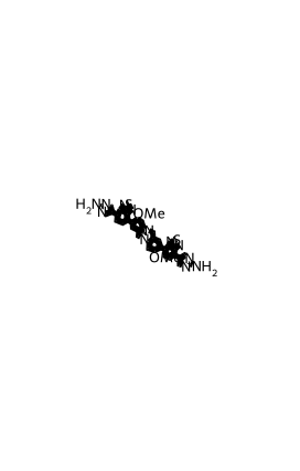 COc1cc2c(cc1-c1ccc(-c3cnc(N)nc3)c3nsnc13)CN1CN2Cc2cc(-c3ccc(-c4cnc(N)nc4)c4nsnc34)c(OC)cc21